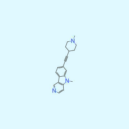 CN1CCC(C#Cc2ccc3c4cnccc4n(C)c3c2)CC1